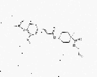 C=CCOC(=O)C1(C)CCC(OC(=O)/C=C/c2ccc(OC(C)=O)c(OC)c2)CC1